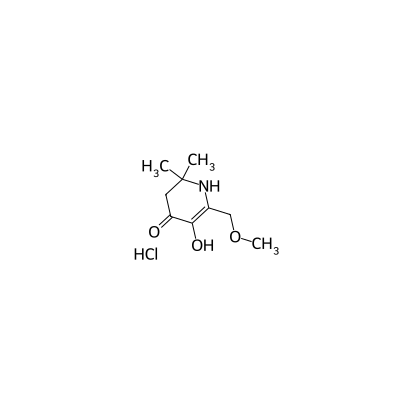 COCC1=C(O)C(=O)CC(C)(C)N1.Cl